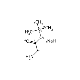 C[Si](C)(C)OC(=O)CN.[NaH]